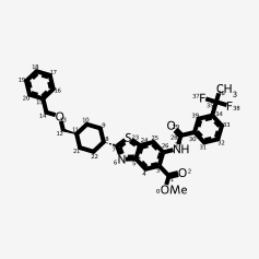 COC(=O)c1cc2nc([C@H]3CC[C@H](COCc4ccccc4)CC3)sc2cc1NC(=O)c1cccc(C(C)(F)F)c1